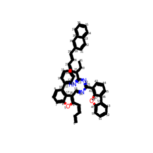 C=C/C=C\c1oc2cccc(-c3ccccc3)c2c1/C=N/C(=N\C(=N)C(/C=C\C=C\c1ccc2ccccc2c1)CC)c1cccc2c1oc1ccccc12